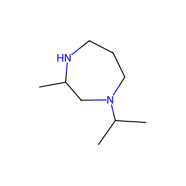 CC1CN(C(C)C)CCCN1